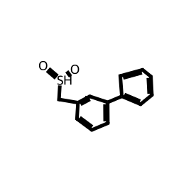 O=[SH](=O)Cc1[c]c(-c2ccccc2)ccc1